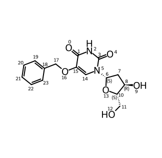 O=c1[nH]c(=O)n([C@@H]2C[C@@H](O)[C@H](CO)O2)cc1OCc1ccccc1